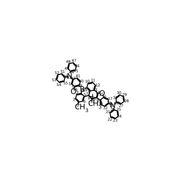 Cc1cc2c3c(c1)[C@@H]1c4c(cccc4-c4oc5cc(N(c6ccccc6)c6ccccc6)ccc5c4C1C)B3c1ccc(N(c3ccccc3)c3ccccc3)cc1O2